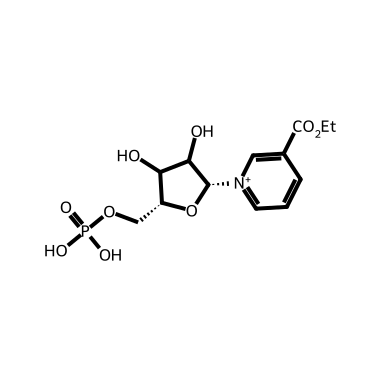 CCOC(=O)c1ccc[n+]([C@@H]2O[C@H](COP(=O)(O)O)C(O)C2O)c1